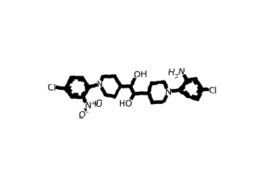 Nc1cc(Cl)ccc1N1CCC(C(O)C(O)C2CCN(c3ccc(Cl)cc3[N+](=O)[O-])CC2)CC1